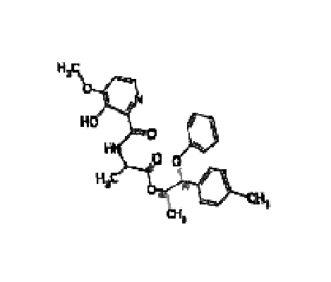 COc1ccnc(C(=O)NC(C)C(=O)O[C@@H](C)[C@H](Oc2ccccc2)c2ccc(C)cc2)c1O